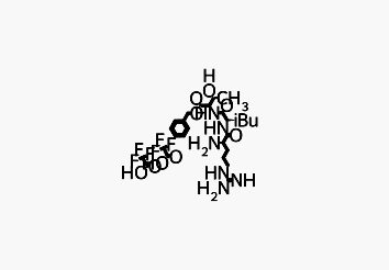 CC[C@H](C)[C@H](NC(=O)[C@H](N)CCCNC(=N)N)C(=O)N[C@H](C(=O)OCc1ccccc1)[C@H](C)O.O=C(O)C(F)(F)F.O=C(O)C(F)(F)F